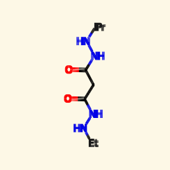 CCNNC(=O)CC(=O)NNC(C)C